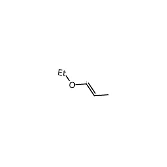 C/C=[C]/OCC